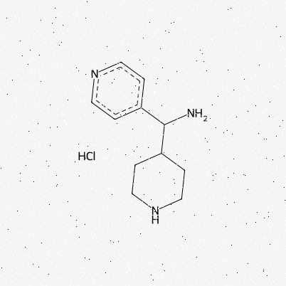 Cl.NC(c1ccncc1)C1CCNCC1